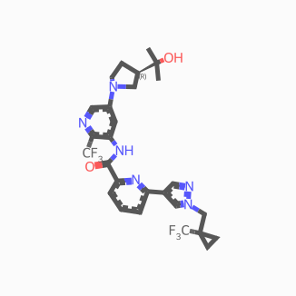 CC(C)(O)[C@@H]1CCN(c2cnc(C(F)(F)F)c(NC(=O)c3cccc(-c4cnn(CC5(C(F)(F)F)CC5)c4)n3)c2)C1